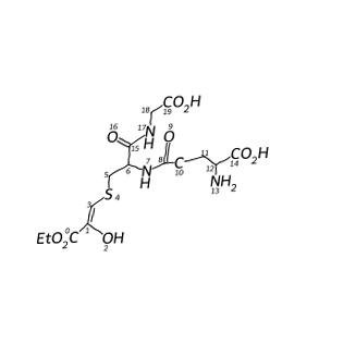 CCOC(=O)/C(O)=C/SCC(NC(=O)CCC(N)C(=O)O)C(=O)NCC(=O)O